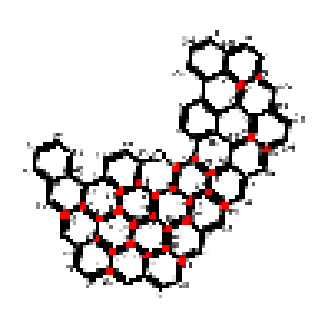 c1ccc2c(-c3ccc(OB(Oc4ccc(-c5cccc6ccccc56)c(-c5cccc6ccccc56)c4-c4cccc5ccccc45)Oc4ccc(-c5cccc6ccccc56)c(-c5cccc6ccccc56)c4-c4cccc5ccccc45)c(-c4cccc5ccccc45)c3-c3cccc4ccccc34)cccc2c1